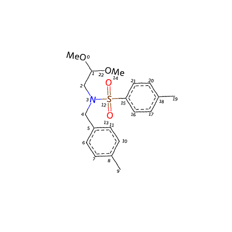 COC(CN(Cc1ccc(C)cc1)S(=O)(=O)c1ccc(C)cc1)OC